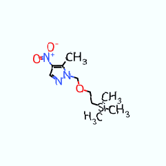 Cc1c([N+](=O)[O-])cnn1COCC[Si](C)(C)C